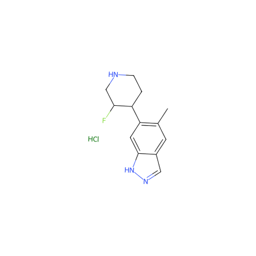 Cc1cc2cn[nH]c2cc1C1CCNCC1F.Cl